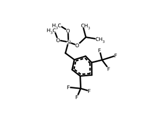 CO[Si](Cc1cc(C(F)(F)F)cc(C(F)(F)F)c1)(OC)OC(C)C